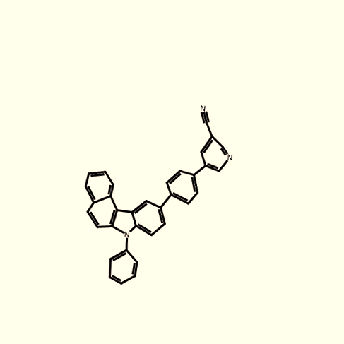 N#Cc1cncc(-c2ccc(-c3ccc4c(c3)c3c5ccccc5ccc3n4-c3ccccc3)cc2)c1